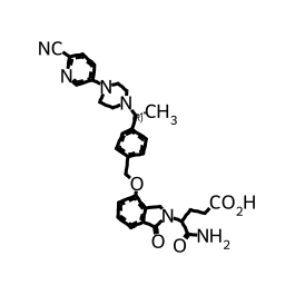 C[C@H](c1ccc(COc2cccc3c2CN(C(CCC(=O)O)C(N)=O)C3=O)cc1)N1CCN(c2ccc(C#N)nc2)CC1